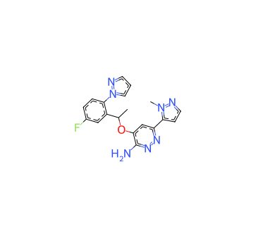 CC(Oc1cc(-c2ccnn2C)nnc1N)c1cc(F)ccc1-n1cccn1